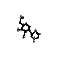 OCc1ccc(C2=CNCC=N2)c(Cl)c1Cl